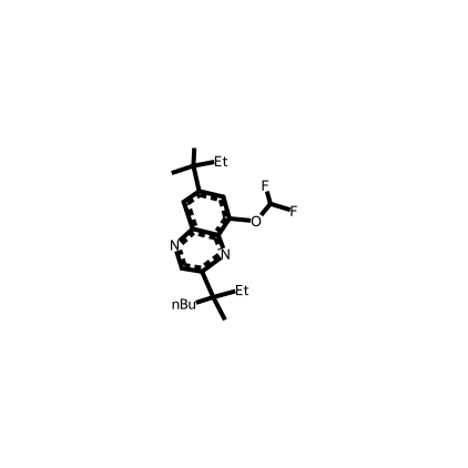 CCCCC(C)(CC)c1cnc2cc(C(C)(C)CC)cc(OC(F)F)c2n1